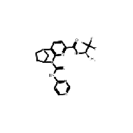 C[C@@H](NC(=O)c1ccc2c(n1)N(C(=O)Nc1ccncn1)C1CCN2C1)C(F)(F)F